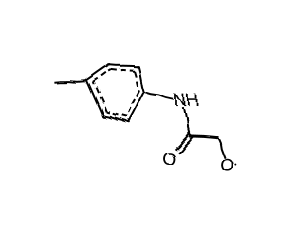 Cc1ccc(NC(=O)C[O])cc1